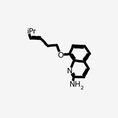 CC(C)C=CCCOc1cccc2ccc(N)nc12